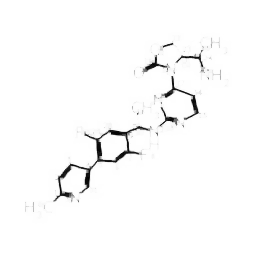 Cc1ccc(-c2cc(F)c([C@H](C)Nc3nccc(N4C(=O)OC[C@@H]4[C@@H](C)N)n3)cc2F)cn1